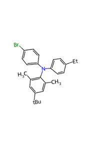 CCc1ccc(N(c2ccc(Br)cc2)c2c(C)cc(C(C)(C)C)cc2C)cc1